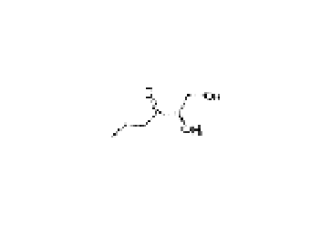 CCCC(=O)C(O)CO